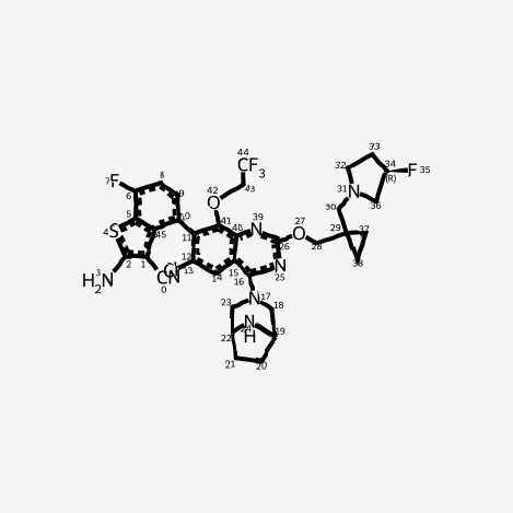 N#Cc1c(N)sc2c(F)ccc(-c3c(Cl)cc4c(N5CC6CCC(C5)N6)nc(OCC5(CN6CC[C@@H](F)C6)CC5)nc4c3OCC(F)(F)F)c12